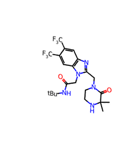 CC(C)(C)NC(=O)Cn1c(CN2CCNC(C)(C)C2=O)nc2cc(C(F)(F)F)c(C(F)(F)F)cc21